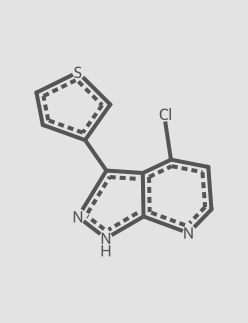 Clc1ccnc2[nH]nc(-c3ccsc3)c12